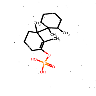 CC1=C(OP(=O)(O)O)CCCC1(C)C1(C)CCCCC1C